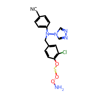 N#Cc1ccc(N(Cc2ccc(OSOON)c(Cl)c2)n2cnnc2)cc1